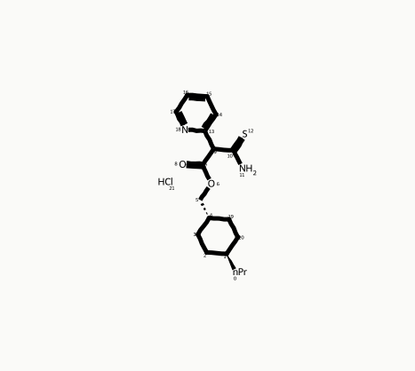 CCC[C@H]1CC[C@H](COC(=O)C(C(N)=S)c2ccccn2)CC1.Cl